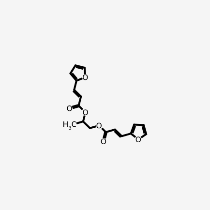 CC(COC(=O)/C=C/c1ccco1)OC(=O)/C=C/c1ccco1